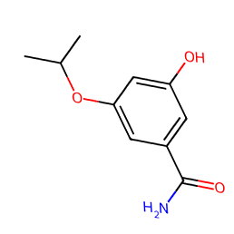 CC(C)Oc1cc(O)cc(C(N)=O)c1